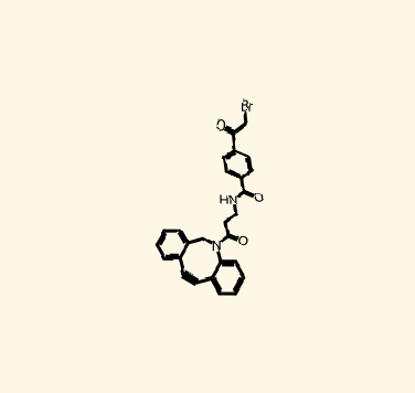 O=C(CBr)c1ccc(C(=O)NCCC(=O)N2Cc3ccccc3C#Cc3ccccc32)cc1